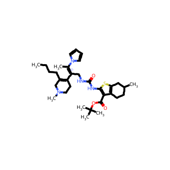 CCCCC1=C(/C(CNC(=O)Nc2sc3c(c2C(=O)OC(C)(C)C)CCC(C)C3)=C(\C)n2cccc2)CCN(C)C1